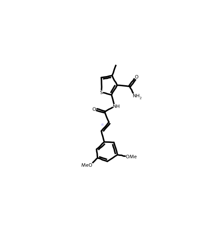 COc1cc(/C=C/C(=O)Nc2scc(C)c2C(N)=O)cc(OC)c1